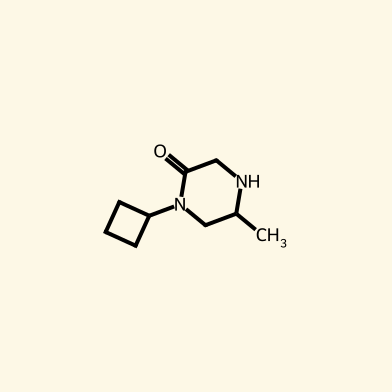 CC1CN(C2CCC2)C(=O)CN1